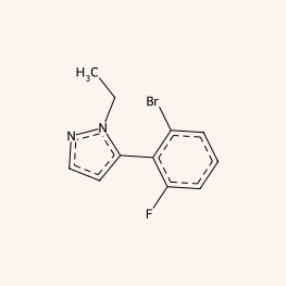 CCn1nccc1-c1c(F)cccc1Br